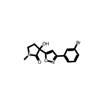 CN1CCC(O)(c2cc(-c3cccc(Br)c3)no2)C1=O